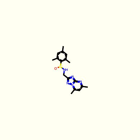 Cc1cc(C)c([S+]([O-])NCc2nc3nc(C)cc(C)n3n2)c(C)c1